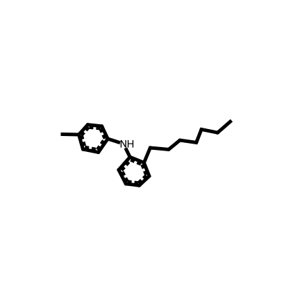 CCCCCCCc1ccccc1Nc1ccc(C)cc1